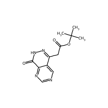 CC(C)(C)OC(=O)Cc1n[nH]c(=O)c2ncncc12